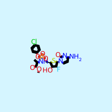 COC(=O)C(C)NP(=O)(OC[C@H]1S[C@@H](n2ccc(N)nc2=O)[C@@H](F)[C@@H]1O)Oc1ccc(Cl)cc1